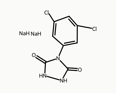 O=c1[nH][nH]c(=O)n1-c1cc(Cl)cc(Cl)c1.[NaH].[NaH]